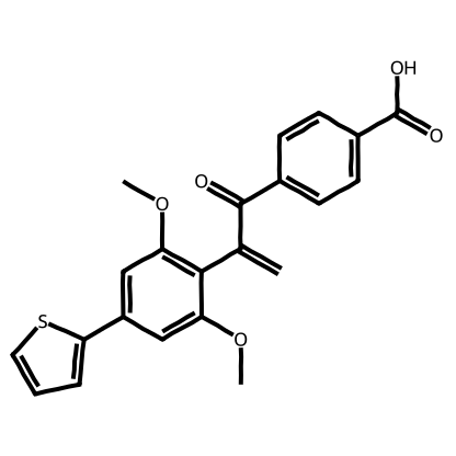 C=C(C(=O)c1ccc(C(=O)O)cc1)c1c(OC)cc(-c2cccs2)cc1OC